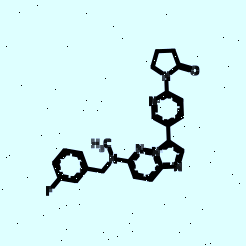 CN(Cc1cccc(F)c1)c1ccc2ncc(-c3ccc(N4CCCC4=O)nc3)n2n1